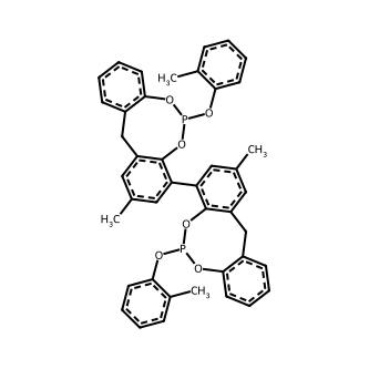 Cc1cc2c(c(-c3cc(C)cc4c3OP(Oc3ccccc3C)Oc3ccccc3C4)c1)OP(Oc1ccccc1C)Oc1ccccc1C2